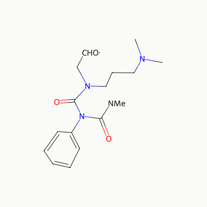 CNC(=O)N(C(=O)N(C[C]=O)CCCN(C)C)c1ccccc1